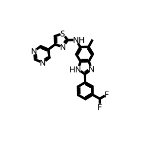 Cc1cc2nc(-c3cccc(C(F)F)c3)[nH]c2cc1Nc1nc(-c2cncnc2)cs1